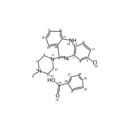 CN1CCN(C2=Nc3cc(Cl)ccc3Nc3ccccc32)CC1.O=C(O)c1ccccc1